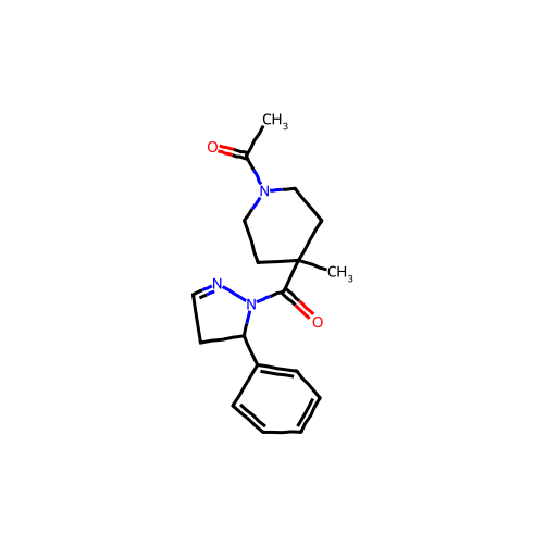 CC(=O)N1CCC(C)(C(=O)N2N=CCC2c2ccccc2)CC1